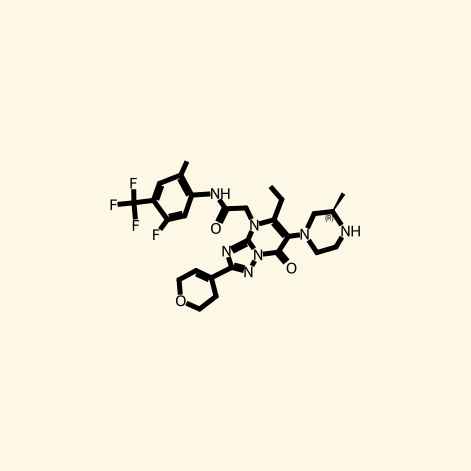 CCc1c(N2CCN[C@H](C)C2)c(=O)n2nc(C3=CCOCC3)nc2n1CC(=O)Nc1cc(F)c(C(F)(F)F)cc1C